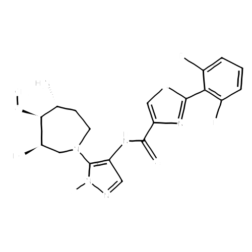 CO[C@@H]1[C@H](C)CN(c2c(NC(=O)c3csc(-c4c(F)cccc4F)n3)cnn2C)CC[C@H]1N